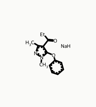 CCC(=O)c1c(C)nn(C)c1Oc1ccccc1.[NaH]